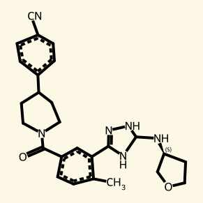 Cc1ccc(C(=O)N2CCC(c3ccc(C#N)cc3)CC2)cc1C1=NNC(N[C@H]2CCOC2)N1